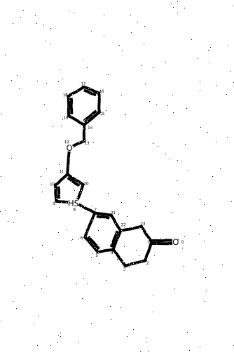 O=C1CCc2ccc([SH]3C=CC(OCc4ccccc4)=C3)cc2C1